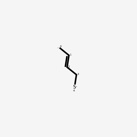 [CH2]C=CC[S]